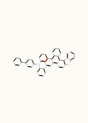 c1ccc(-c2ccc(N(c3ccccc3)c3ccccc3-c3ccc4c5ccccc5c5c(ccc6oc7ccccc7c65)c4c3)cc2)cc1